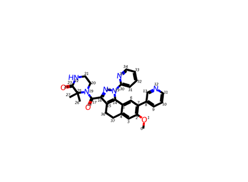 COc1cc2c(cc1-c1cccnc1)-c1c(c(C(=O)N3CCNC(=O)C3(C)C)nn1-c1ccccn1)CC2